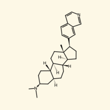 CN(C)[C@H]1CC[C@H]2[C@@H](CC[C@@H]3[C@@H]2CC[C@]2(C)[C@@H](c4ccc5ccncc5c4)CC[C@@H]32)C1